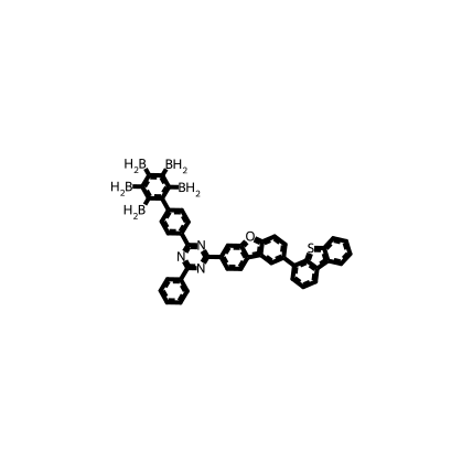 Bc1c(B)c(B)c(-c2ccc(-c3nc(-c4ccccc4)nc(-c4ccc5c(c4)oc4ccc(-c6cccc7c6sc6ccccc67)cc45)n3)cc2)c(B)c1B